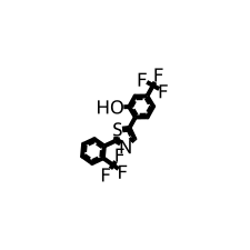 Oc1cc(C(F)(F)F)ccc1-c1cnc(-c2ccccc2C(F)(F)F)s1